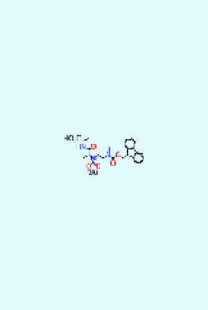 C[C@H](NC(=O)[C@H](C)N(CCNC(=O)OCC1c2ccccc2-c2ccccc21)C(=O)OC(C)(C)C)C(=O)O